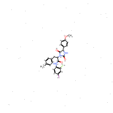 COc1ccc(C2NC(=O)N(C(Cc3ccc(C)cc3)C(=O)Nc3ccc(I)cc3F)C2=O)cc1